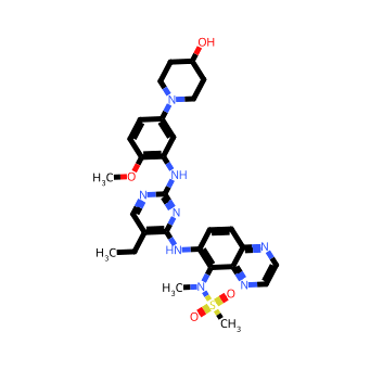 CCc1cnc(Nc2cc(N3CCC(O)CC3)ccc2OC)nc1Nc1ccc2nccnc2c1N(C)S(C)(=O)=O